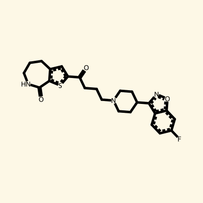 O=C(CCCN1CCC(c2noc3cc(F)ccc23)CC1)c1cc2c(s1)C(=O)NCCC2